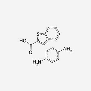 Nc1ccc(N)cc1.O=C(O)c1cc2ccccc2s1